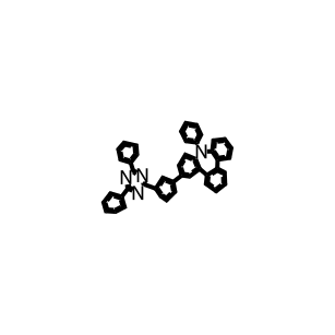 c1ccc(-c2nc(-c3ccccc3)nc(-c3cccc(-c4ccc5c(c4)-c4ccccc4-c4ccccc4N5c4ccccc4)c3)n2)cc1